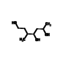 CC(O)CC(O)C(C)CCO